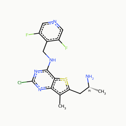 Cc1c(C[C@@H](C)N)sc2c(NCc3c(F)cncc3F)nc(Cl)nc12